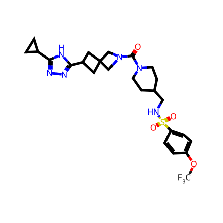 O=C(N1CCC(CNS(=O)(=O)c2ccc(OC(F)(F)F)cc2)CC1)N1CC2(CC(c3nnc(C4CC4)[nH]3)C2)C1